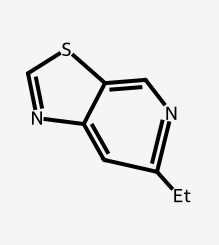 CCc1cc2ncsc2cn1